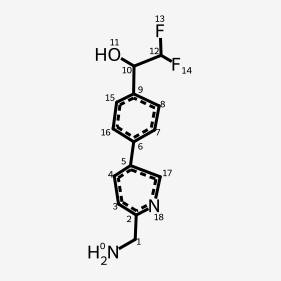 NCc1ccc(-c2ccc(C(O)C(F)F)cc2)cn1